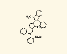 CNc1ccccc1N(CC1CCC(c2n(-c3ccccc3)c3ccccc3[n+]2C)C1C)c1ccccc1